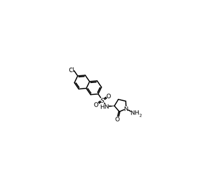 NN1CC[C@H](NS(=O)(=O)c2ccc3cc(Cl)ccc3c2)C1=O